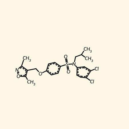 Cc1noc(C)c1COc1ccc(S(=O)(=O)N(CC(C)C)c2ccc(Cl)c(Cl)c2)cc1